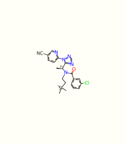 C[C@@H](c1ncnn1-c1ccc(C#N)cn1)N(CC[Si](C)(C)C)C(=O)c1cccc(Cl)c1